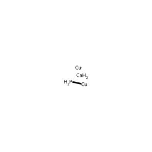 [CaH2].[Cu].[PH2][Cu]